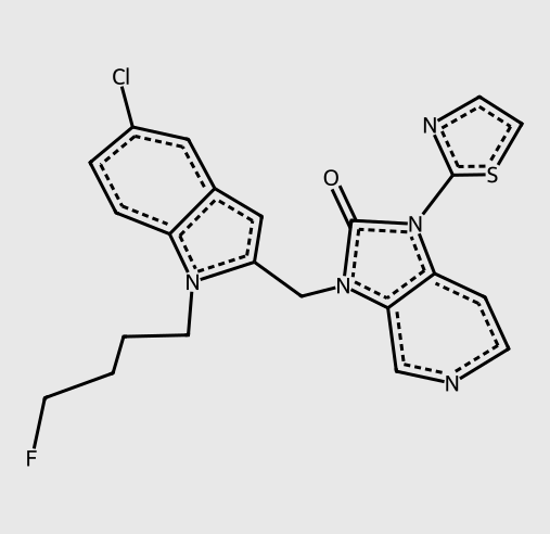 O=c1n(Cc2cc3cc(Cl)ccc3n2CCCCF)c2cnccc2n1-c1nccs1